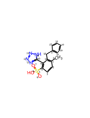 Cc1ccc(S(=O)(=O)O)c(-c2nnn[nH]2)c1Cc1ccccc1